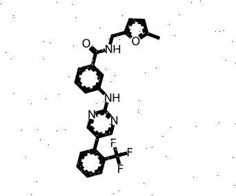 Cc1ccc(CNC(=O)c2cccc(Nc3ncc(-c4ccccc4C(F)(F)F)cn3)c2)o1